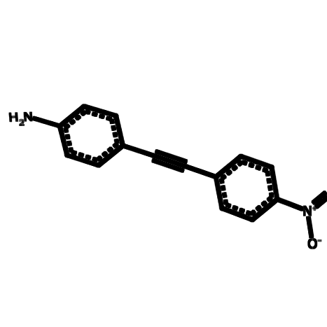 Nc1ccc(C#Cc2ccc([N+](=O)[O-])cc2)cc1